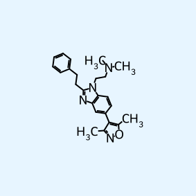 Cc1noc(C)c1-c1ccc2c(c1)nc(CCc1ccccc1)n2CCN(C)C